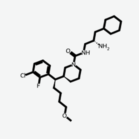 COCCCC[C@@H](c1cccc(Cl)c1F)[C@@H]1CCCN(C(=O)NC[C@@H](N)CC2CCCCC2)C1